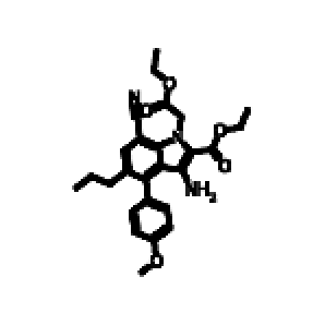 CCCc1cc(C#N)c2c(c(N)c(C(=O)OCC)n2CC(=O)OCC)c1-c1ccc(OC)cc1